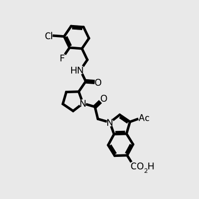 CC(=O)c1cn(CC(=O)N2CCCC2C(=O)NCC2CC=CC(Cl)=C2F)c2ccc(C(=O)O)cc12